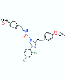 COc1ccc(C=Cc2nc(-c3ccc(Cl)cc3Cl)cn2CC(=O)NCCc2ccc(OC)cc2)cc1